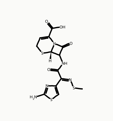 CSN=C(C(=O)NC1C(=O)N2C(C(=O)O)=CCS[C@@H]12)c1csc(N)n1